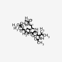 CC(=O)N[C@H](C(=O)N[C@@H](CCCNC(N)=O)C(=O)N(C)CCN(C)C(=O)OC(C)(C)C)C(C)C